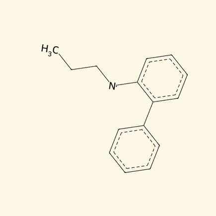 CCC[N]c1ccccc1-c1ccccc1